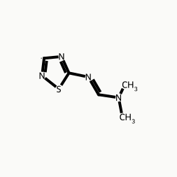 CN(C)/C=N/c1n[c]ns1